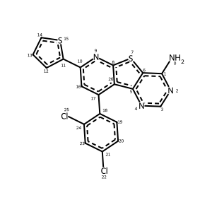 Nc1ncnc2c1sc1nc(-c3cccs3)cc(-c3ccc(Cl)cc3Cl)c12